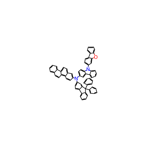 c1ccc(C2(c3ccccc3)c3ccccc3-c3ccc(N(c4ccc5c(ccc6c7ccccc7ccc56)c4)c4ccc5c(c4)c4ccccc4n5-c4ccc5c(c4)oc4ccccc45)cc32)cc1